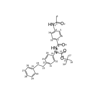 CC(=O)Nc1ccc(C(=O)NN(C(=O)OC(C)(C)C)c2ccc(CCc3ccccc3)cc2)cc1